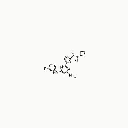 Nc1nc(Nc2cccc(F)c2)nc(-c2noc(C(=O)NC3CCC3)n2)n1